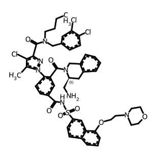 CCCCN(Cc1ccc(Cl)c(Cl)c1)C(=O)c1nn(-c2ccc(C(=O)NS(=O)(=O)c3ccc4cccc(OCCN5CCOCC5)c4c3)cc2C(=O)N2Cc3ccccc3C[C@H]2CN)c(C)c1Cl